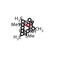 CSN1c2cc3c(cc2B2c4cc5c(cc4Oc4cc(C)cc1c42)N(SC)c1cc(C)cc2c1B5c1cccc4c5ccccc5n-2c14)B1c2c(cc(C)cc2-n2c4ccccc4c4cccc1c42)N3